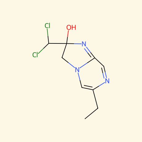 CCC1=CN2CC(O)(C(Cl)Cl)N=C2C=N1